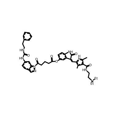 CCN(CC)CCNC(=O)c1c(C)[nH]c(/C=C2\C(=O)Nc3ccc(OC(=O)CCCC(=O)n4ncc5ccc(NC(=O)NCCc6ccccc6)cc54)cc32)c1C